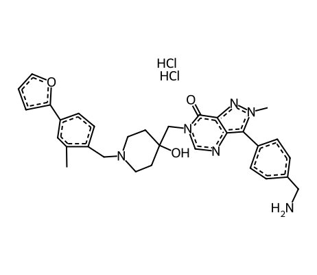 Cc1cc(-c2ccco2)ccc1CN1CCC(O)(Cn2cnc3c(-c4ccc(CN)cc4)n(C)nc3c2=O)CC1.Cl.Cl